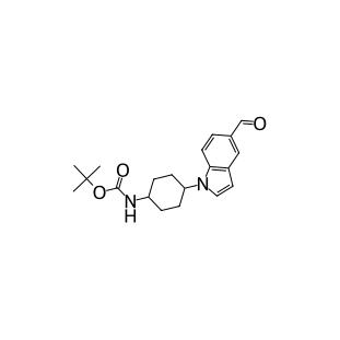 CC(C)(C)OC(=O)NC1CCC(n2ccc3cc(C=O)ccc32)CC1